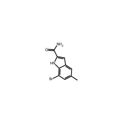 Cc1cc(Br)c2[nH]c(C(N)=O)cc2c1